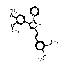 COc1ccc(C=CC2=CC(c3ccc(OC)c(OC)c3)N(c3ccccc3)N2)cc1OC